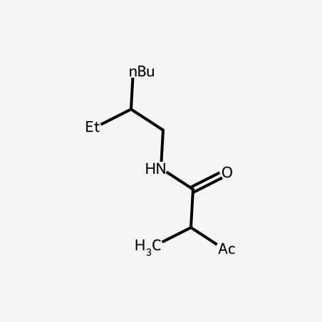 CCCCC(CC)CNC(=O)C(C)C(C)=O